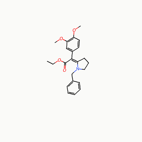 CCOC(=O)C(=C1CCCN1Cc1ccccc1)c1ccc(OC)c(OC)c1